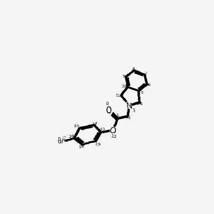 O=C(CN1Cc2ccccc2C1)Oc1ccc(Br)cc1